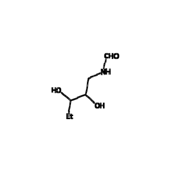 CCC(O)C(O)CNC=O